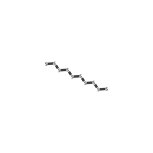 S=S=S=S=S=S=S=S=S=S